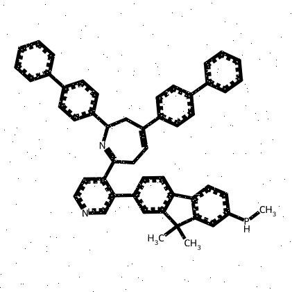 CPc1ccc2c(c1)C(C)(C)c1cc(-c3cnccc3C3=NC(c4ccc(-c5ccccc5)cc4)CC(c4ccc(-c5ccccc5)cc4)=CC3)ccc1-2